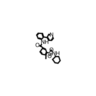 Cc1ccc(C(=O)Nc2ccccc2-c2cccnc2)cc1S(=O)(=O)NC1CCCCC1